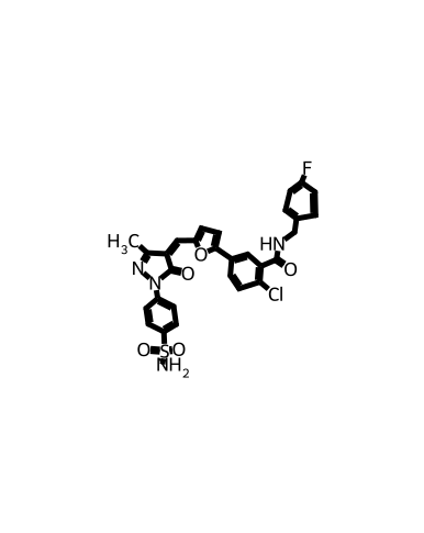 CC1=NN(c2ccc(S(N)(=O)=O)cc2)C(=O)C1=Cc1ccc(-c2ccc(Cl)c(C(=O)NCc3ccc(F)cc3)c2)o1